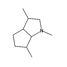 CC1CN(C)C2C(C)CCC12